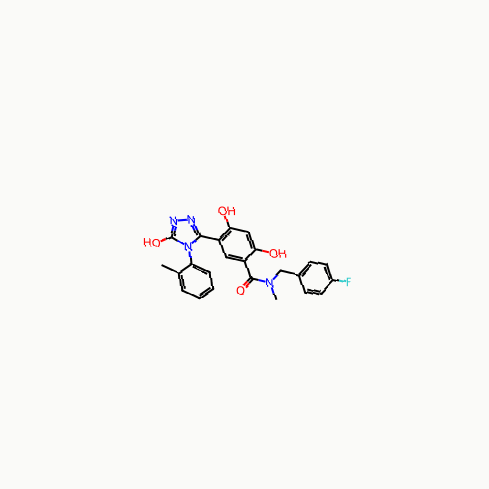 Cc1ccccc1-n1c(O)nnc1-c1cc(C(=O)N(C)Cc2ccc(F)cc2)c(O)cc1O